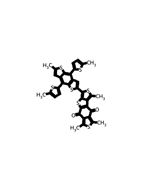 Cc1ccc(-c2c3cc(-c4sc(C)c5c6c(sc45)C(=O)c4c(C)sc(C)c4C6=O)sc3c(-c3ccc(C)s3)c3cc(C)sc23)s1